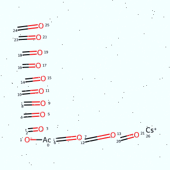 CC(=O)[O-].[C]=O.[C]=O.[C]=O.[C]=O.[C]=O.[C]=O.[C]=O.[C]=O.[C]=O.[C]=O.[C]=O.[C]=O.[Cs+]